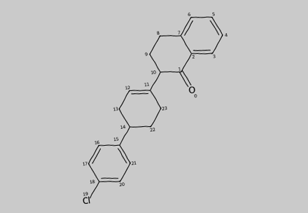 O=C1c2ccccc2CCC1C1=CCC(c2ccc(Cl)cc2)CC1